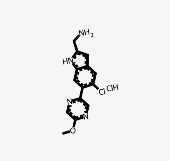 COc1cnc(-c2cc3[nH]c(CN)cc3cc2Cl)cn1.Cl